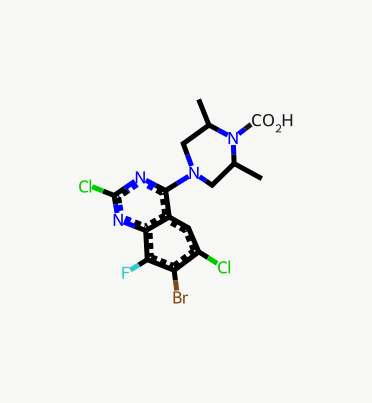 CC1CN(c2nc(Cl)nc3c(F)c(Br)c(Cl)cc23)CC(C)N1C(=O)O